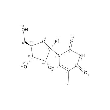 CC[C@@]1(n2cc(C)c(=O)[nH]c2=O)O[C@H](CO)[C@@H](O)[C@H]1O